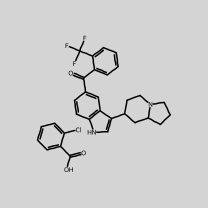 O=C(O)c1ccccc1Cl.O=C(c1ccc2[nH]cc(C3CCN4CCCC4C3)c2c1)c1ccccc1C(F)(F)F